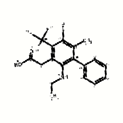 CCNc1c(CC(=O)O)c(C(F)(F)F)c(F)c(C)c1-c1ccccc1